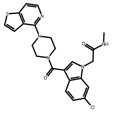 CNC(=O)Cn1cc(C(=O)N2CCN(c3nccc4sccc34)CC2)c2ccc(Cl)cc21